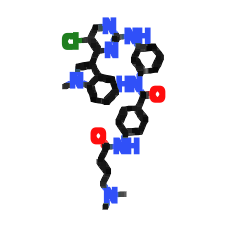 CN(C)C/C=C/C(=O)Nc1ccc(C(=O)Nc2cccc(Nc3ncc(Cl)c(-c4cn(C)c5ccccc45)n3)c2)cc1